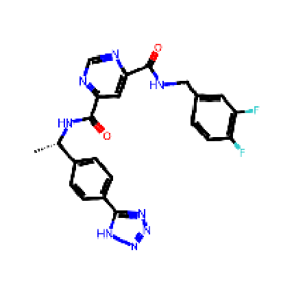 C[C@H](NC(=O)c1cc(C(=O)NCc2ccc(F)c(F)c2)ncn1)c1ccc(-c2nnn[nH]2)cc1